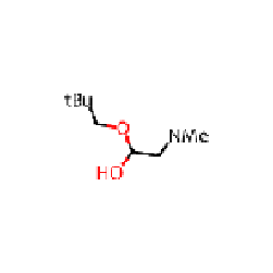 CNCC(O)OCC(C)(C)C